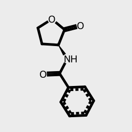 O=C(N[C@H]1CCOC1=O)c1ccccc1